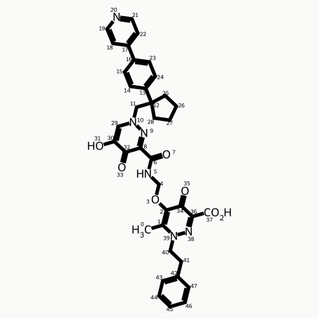 Cc1c(OCNC(=O)c2nn(CC3(c4ccc(-c5ccncc5)cc4)CCCC3)cc(O)c2=O)c(=O)c(C(=O)O)nn1CCc1ccccc1